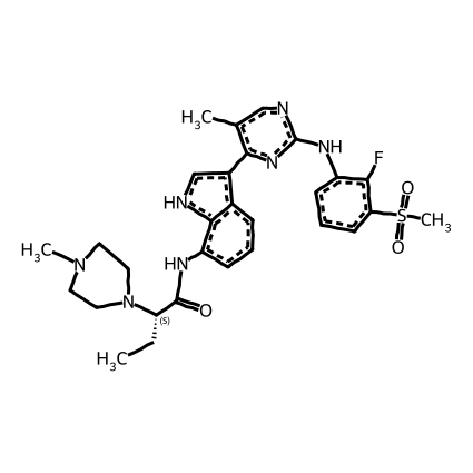 CC[C@@H](C(=O)Nc1cccc2c(-c3nc(Nc4cccc(S(C)(=O)=O)c4F)ncc3C)c[nH]c12)N1CCN(C)CC1